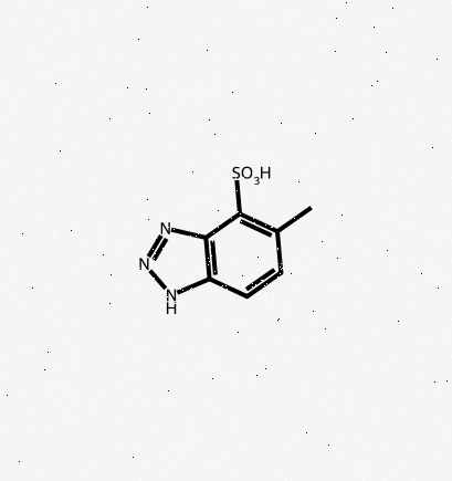 Cc1ccc2[nH]nnc2c1S(=O)(=O)O